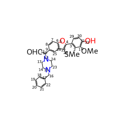 COc1cc(-c2oc3ccc(C(C=O)N4CCN(Cc5ccccc5)CC4)cc3c2SC)ccc1O